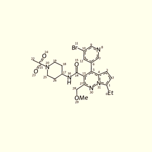 CCc1ccc2c(-c3cncc(Br)c3)c(C(=O)NC3CCN(S(C)(=O)=O)CC3)c(COC)nn12